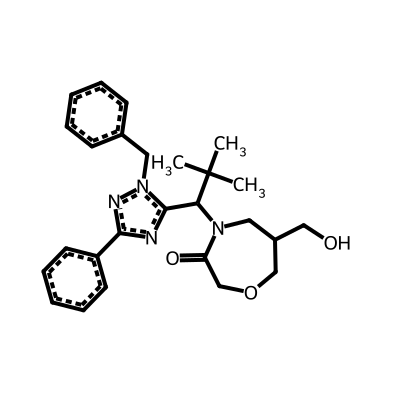 CC(C)(C)C(c1nc(-c2ccccc2)nn1Cc1ccccc1)N1CC(CO)COCC1=O